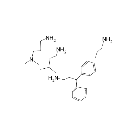 CC(C)CCN.CCCN.CN(C)CCCN.NCCC(c1ccccc1)c1ccccc1